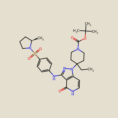 CCC1(n2nc(Nc3ccc(S(=O)(=O)N4CCC[C@H]4C)cc3)c3c(=O)[nH]ccc32)CCN(C(=O)OC(C)(C)C)CC1